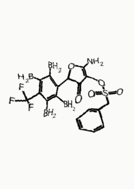 Bc1c(B)c(C(F)(F)F)c(B)c(B)c1C1OC(N)=C(OS(=O)(=O)Cc2ccccc2)C1=O